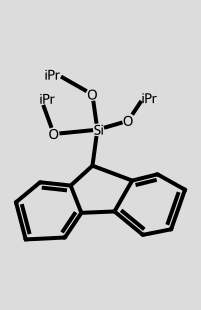 CC(C)O[Si](OC(C)C)(OC(C)C)C1c2ccccc2-c2ccccc21